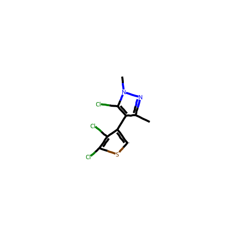 Cc1nn(C)c(Cl)c1-c1[c]sc(Cl)c1Cl